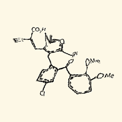 CCC(=Cc1noc(C(C)C)c1-c1ccc(Cl)cc1C(=O)c1cccc(OC)c1OC)C(=O)O